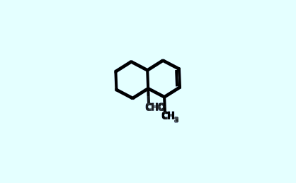 CC1C=CCC2CCCCC12C=O